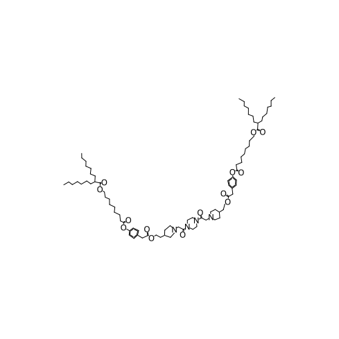 CCCCCCCC(CCCCCCC)C(=O)OCCCCCCCCC(=O)Oc1ccc(CC(=O)OCCC2CCN(CC(=O)N3CCN(C(=O)CN4CCC(CCOC(=O)Cc5ccc(OC(=O)CCCCCCCCOC(=O)C(CCCCCCC)CCCCCCC)cc5)CC4)CC3)CC2)cc1